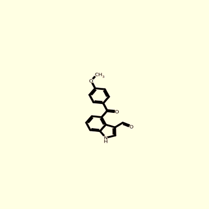 COc1ccc(C(=O)c2cccc3[nH]cc(C=O)c23)cc1